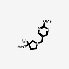 COc1ncc(CN2CCC(C)(OC)C2)cn1